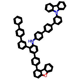 c1ccc(-c2ccc(-c3cccc(-c4cc(-c5ccc(-c6cccc7oc8ccccc8c67)cc5)ccc4Nc4ccc(-c5ccc(-c6cccc(-n7c8ccccc8c8ccccc87)c6)cc5)cc4)c3)cc2)cc1